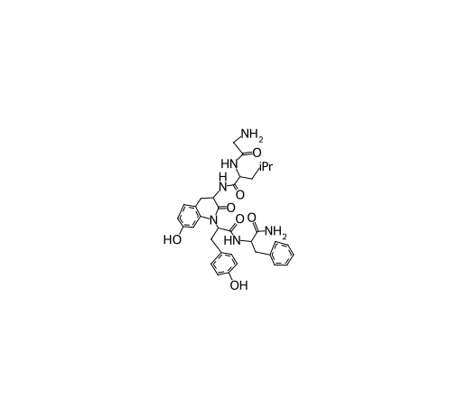 CC(C)CC(NC(=O)CN)C(=O)NC1Cc2ccc(O)cc2N(C(Cc2ccc(O)cc2)C(=O)NC(Cc2ccccc2)C(N)=O)C1=O